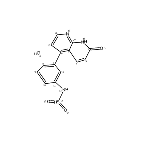 Cl.O=c1ccc2c(-c3cccc(N[SH](=O)=O)c3)ccnc2[nH]1